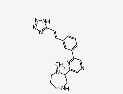 CN1CCCNCC1c1cncc(-c2cccc(C=Cc3nnn[nH]3)c2)n1